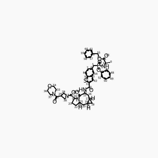 C[C@@H](NP(=O)(Cc1ccc2sc(C(=O)N[C@H]3C[C@@H]4C[C@@H]4C[C@H]4CC[C@@H](C(=O)N5CC(C(=O)N6CCOCC6)C5)N4C3=O)cc2c1)Oc1ccccc1)C(=O)OCc1ccccc1